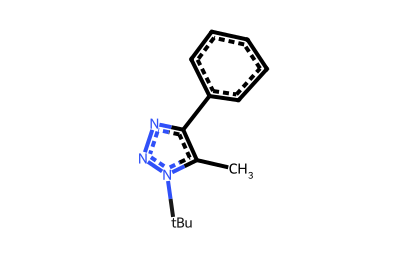 Cc1c(-c2ccccc2)nnn1C(C)(C)C